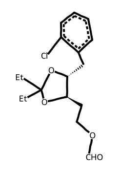 CCC1(CC)O[C@H](CCOC=O)[C@@H](Cc2ccccc2Cl)O1